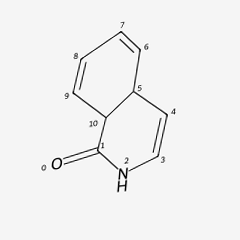 O=C1NC=CC2C=CC=CC12